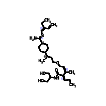 C=C/C(=C\N=C(/N)N1CCC([C@H](C)CCOC/C=C(C)\C(=C/CC)C(=O)NC(CO)CO)CC1)CC